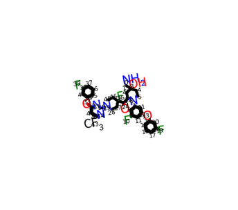 NCC1(O)CCN(c2cc(F)cc(Oc3cccc(F)c3)c2)C(C(=O)C2(F)CCN(c3nc(Oc4cccc(F)c4)cc(C(F)(F)F)n3)CC2)C1